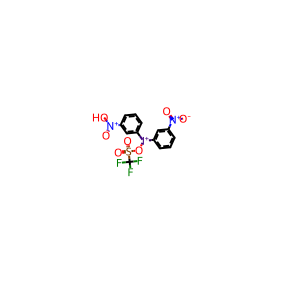 O=[N+]([O-])c1cccc([I+](OS(=O)(=O)C(F)(F)F)c2cccc([N+](=O)O)c2)c1